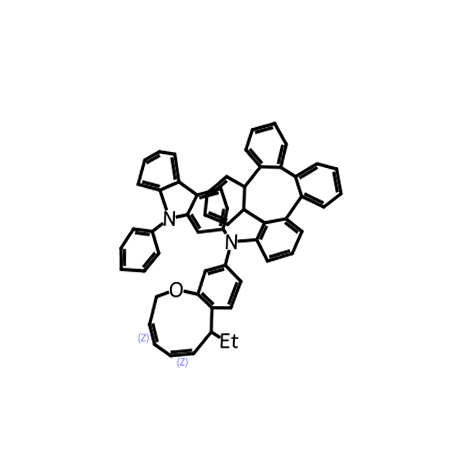 CCC1/C=C\C=C/COc2cc(N(c3ccc4c5ccccc5n(-c5ccccc5)c4c3)c3cccc4c3C3C=CC=CC3c3ccccc3-c3ccccc3-4)ccc21